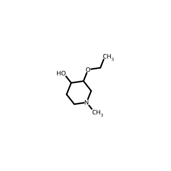 CCOC1CN(C)CCC1O